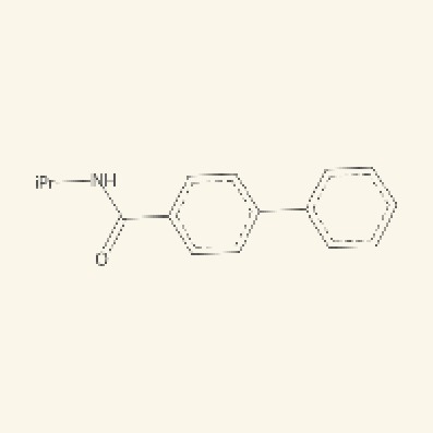 CC(C)NC(=O)c1ccc(-c2ccccc2)cc1